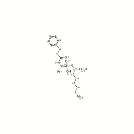 CC(C)[C@H](NC(=O)CCc1ccccc1)P(=O)(O)C[C@@H](CCCCCN)C(=O)O